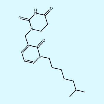 CC(C)CCCCCn1cccc(CN2CCC(=O)NC2=O)c1=O